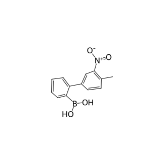 Cc1ccc(-c2ccccc2B(O)O)cc1[N+](=O)[O-]